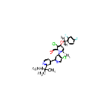 [2H]C([2H])(OC1=C(Cl)C(=C=O)N(c2cc(-c3ccnc(C(C)(C)NC(C)=O)c3)ncc2Cl)C(C)=C1)c1ccc(F)cc1F